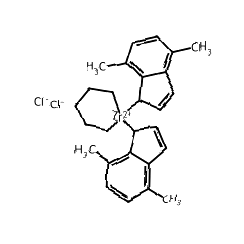 Cc1ccc(C)c2c1C=C[CH]2[Zr+2]1([CH]2C=Cc3c(C)ccc(C)c32)[CH2]CCC[CH2]1.[Cl-].[Cl-]